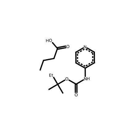 CCC(C)(C)OC(=O)Nc1ccncc1.CCCC(=O)O